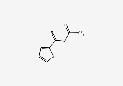 O=C(CC(=S)c1cccs1)C(F)(F)F